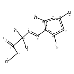 O=C(CCl)C(Cl)(Cl)/N=N/c1c(Cl)cc(Cl)cc1Cl